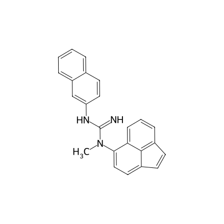 CN(C(=N)Nc1ccc2ccccc2c1)c1ccc2c3c(cccc13)C=C2